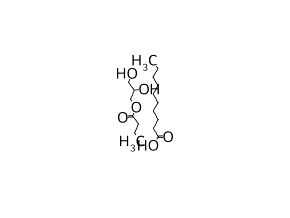 CCCC(=O)OCC(O)CO.CCCCCCCCCC(=O)O